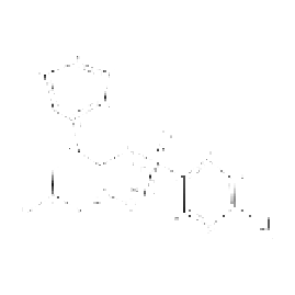 CC(C)C[C@H](c1ccccc1)[C@@H](CO)NS(=O)(=O)c1ccc(Cl)cc1